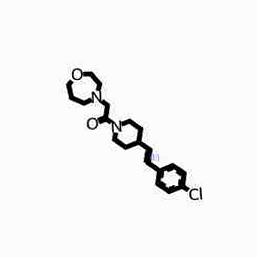 O=C(CN1CCCOCC1)N1CCC(/C=C/c2ccc(Cl)cc2)CC1